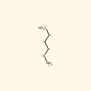 NOCCCC(=O)O